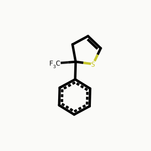 FC(F)(F)C1(c2ccccc2)CC=CS1